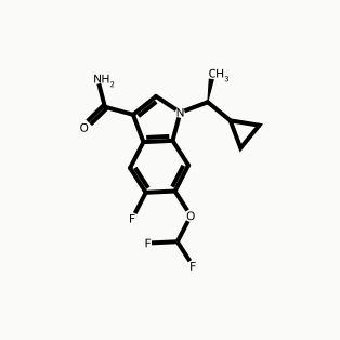 C[C@@H](C1CC1)n1cc(C(N)=O)c2cc(F)c(OC(F)F)cc21